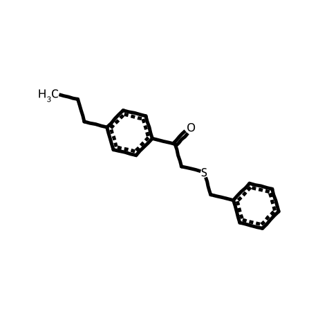 CCCc1ccc(C(=O)CSCc2ccccc2)cc1